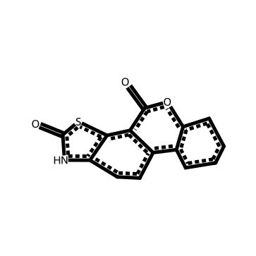 O=c1[nH]c2ccc3c4ccccc4oc(=O)c3c2s1